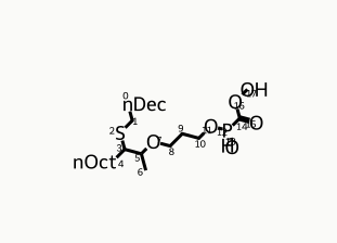 CCCCCCCCCCCSC(CCCCCCCC)C(C)OCCCO[PH](=O)C(=O)OO